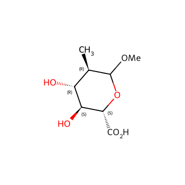 COC1O[C@H](C(=O)O)[C@@H](O)[C@H](O)[C@H]1C